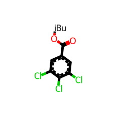 CCC(C)OC(=O)c1cc(Cl)c(Cl)c(Cl)c1